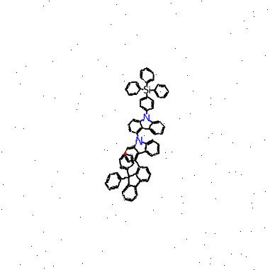 c1ccc(C2(c3ccccc3)c3ccccc3-c3cccc(-c4cccc5c4c4ccccc4n5-c4cccc5c4c4ccccc4n5-c4ccc([Si](c5ccccc5)(c5ccccc5)c5ccccc5)cc4)c32)cc1